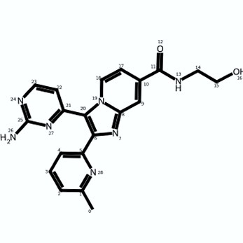 Cc1cccc(-c2nc3cc(C(=O)NCCO)ccn3c2-c2ccnc(N)n2)n1